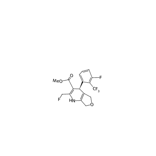 COC(=O)C1=C(CF)NC2=C(COC2)[C@@H]1c1cccc(F)c1C(F)(F)F